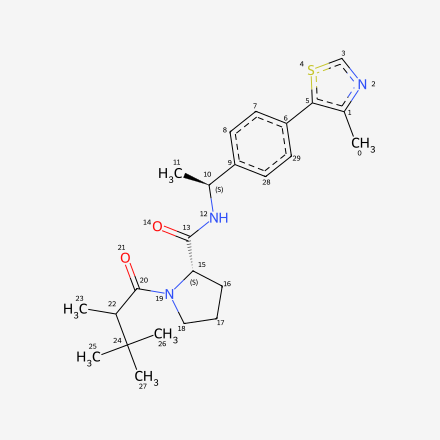 Cc1ncsc1-c1ccc([C@H](C)NC(=O)[C@@H]2CCCN2C(=O)C(C)C(C)(C)C)cc1